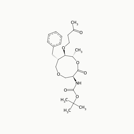 CC(=O)CCO[C@@H]1[C@@H](Cc2ccccc2)COC[C@H](NC(=O)OC(C)(C)C)C(=O)O[C@H]1C